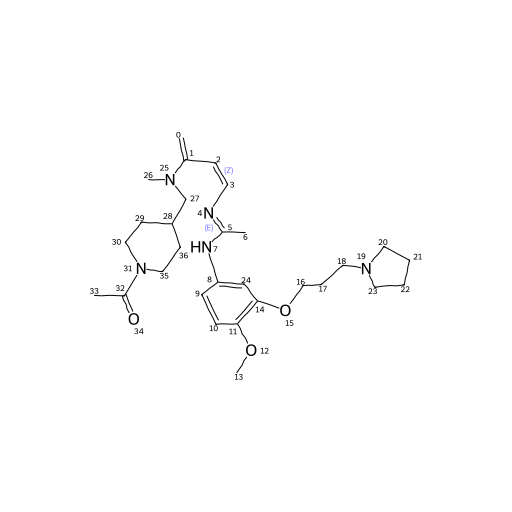 C=C(/C=C\N=C(/C)Nc1ccc(OC)c(OCCCN2CCCC2)c1)N(C)CC1CCN(C(C)=O)CC1